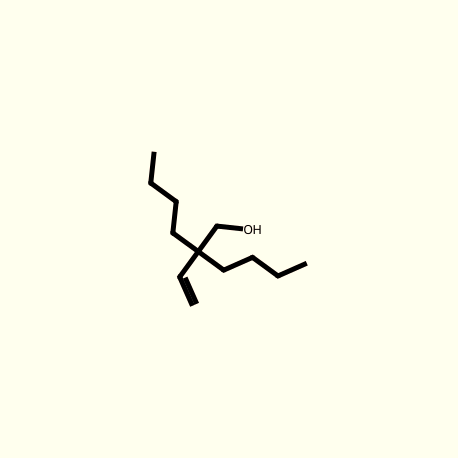 C=CC(CO)(CCCC)CCCC